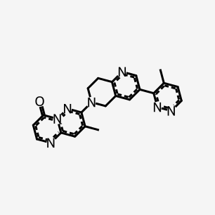 Cc1ccnnc1-c1cnc2c(c1)CN(c1nn3c(=O)ccnc3cc1C)CC2